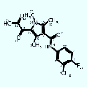 Cc1cc(NC(=O)c2c(C)c(C(=O)C(=O)O)n(C)c2C)ccc1F